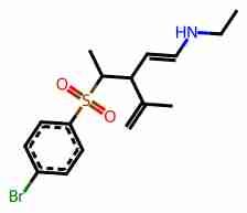 C=C(C)C(/C=C/NCC)C(C)S(=O)(=O)c1ccc(Br)cc1